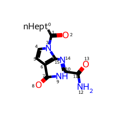 CCCCCCCC(=O)n1ccc2c(=O)[nH]c(C(N)=O)nc21